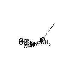 CCCCCCCCCCCCCCON=C(N)c1ccc(NCc2nc3cc(C(=O)N(CCC(=O)OCC)c4ccccn4)ccc3n2C)cc1